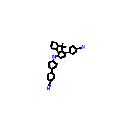 CC1(C)c2ccccc2-c2c(Nc3ccc(-c4ccc(C#N)cc4)cc3)ccc(-c3ccc(C#N)cc3)c21